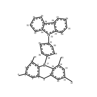 Cc1cc(C)c2c(c1)Cc1cc(C)cc(C)c1B2c1ccc(-n2c3ccccc3c3ccccc32)cc1